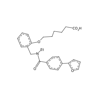 CCN(Cc1ccccc1OCCCCCC(=O)O)C(=O)c1ccc(-c2ccco2)cc1